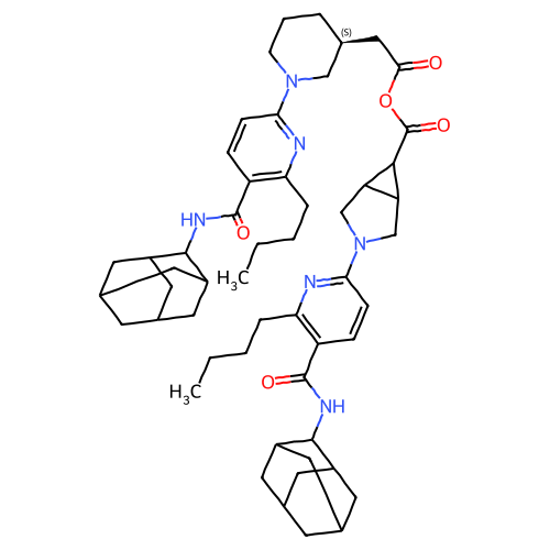 CCCCc1nc(N2CC3C(C2)C3C(=O)OC(=O)C[C@@H]2CCCN(c3ccc(C(=O)NC4C5CC6CC(C5)CC4C6)c(CCCC)n3)C2)ccc1C(=O)NC1C2CC3CC(C2)CC1C3